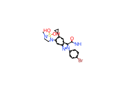 CNC(=O)c1c2cc(C3CC3)c(N3CCN(C)S3(O)O)cc2nn1-c1ccc(Br)cc1